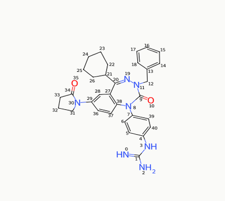 N=C(N)Nc1ccc(N2C(=O)N(Cc3ccccc3)N=C(C3CCCCC3)c3cc(N4CCCC4=O)ccc32)cc1